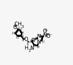 COc1ccc(COC[C@@H]2Oc3nc([N+](=O)[O-])cn3C[C@@H]2N)cc1